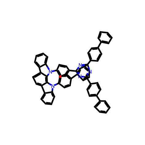 c1ccc(-c2ccc(-c3nc(-c4ccc(-c5ccccc5)cc4)nc(-c4ccc(-n5c6ccccc6c6ccc7c8ccccc8n(-c8ccc(-c9ccccc9)cc8)c7c65)cc4)n3)cc2)cc1